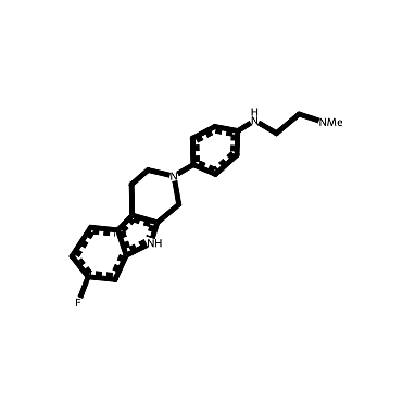 CNCCNc1ccc(N2CCc3c([nH]c4cc(F)ccc34)C2)cc1